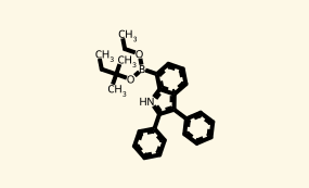 CCOB(OC(C)(C)CC)c1cccc2c(-c3ccccc3)c(-c3ccccc3)[nH]c12